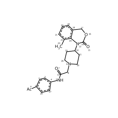 CC(=O)c1ccc(NC(=O)CN2CCC(N3C(=O)OCc4cccc(C)c43)CC2)cc1